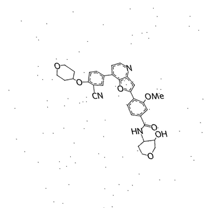 COc1cc(C(=O)NC2CCOCC2O)ccc1-c1cc2nccc(-c3ccc(OC4CCOCC4)c(C#N)c3)c2o1